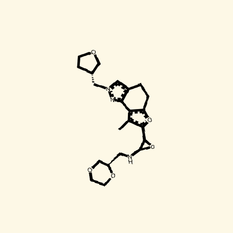 Cc1c(C2OC2NC[C@@H]2COCCO2)oc2c1-c1nn(C[C@@H]3CCOC3)cc1CC2